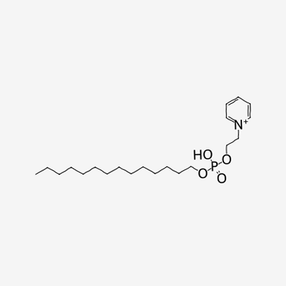 CCCCCCCCCCCCCCOP(=O)(O)OCC[n+]1ccccc1